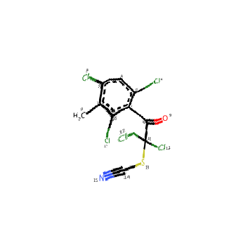 Cc1c(Cl)cc(Cl)c(C(=O)C(Cl)(Cl)SC#N)c1Cl